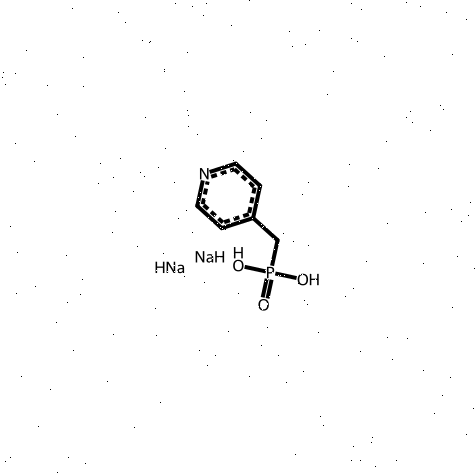 O=P(O)(O)Cc1ccncc1.[NaH].[NaH]